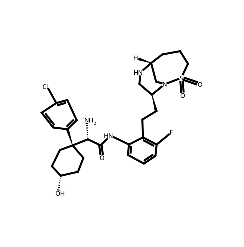 N[C@H](C(=O)Nc1cccc(F)c1CC[C@H]1CN[C@@H]2CCCS(=O)(=O)N1C2)[C@]1(c2ccc(Cl)cc2)CC[C@H](O)CC1